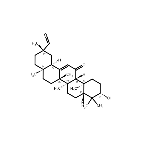 CC1(C)[C@@H](O)CC[C@]2(C)[C@H]3C(=O)C=C4[C@@H]5C[C@@](C)(C=O)CC[C@]5(C)CC[C@@]4(C)[C@]3(C)CC[C@@H]12